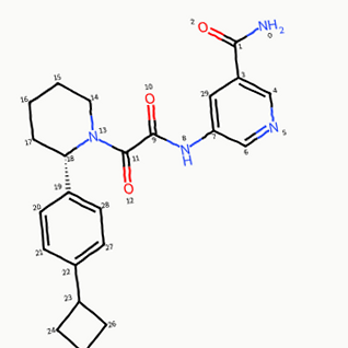 NC(=O)c1cncc(NC(=O)C(=O)N2CCCC[C@H]2c2ccc(C3CCC3)cc2)c1